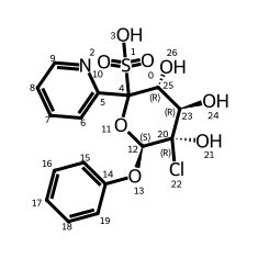 O=S(=O)(O)C1(c2ccccn2)O[C@H](Oc2ccccc2)[C@](O)(Cl)[C@H](O)[C@H]1O